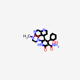 CN1CCN(c2[nH]c(=O)c(C(N)=O)c(-c3ccccc3O)c2-c2ccnc3cnccc23)CC1